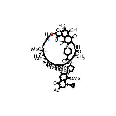 COc1c(N2CCC(NC(=O)C3CCN(C4=C5NC(=O)/C(C)=C\C=C\[C@H](C)[C@H](O)[C@@H](C)[C@@H](O)[C@@H](C)[C@H](OC(C)=O)C(C)[C@@H](OC)CC/C=C/O[C@@]6(C)Oc7c(C)c(O)c(c(c7C6=O)C4=O)C5=O)CC3)C2)c(F)cc2c(=O)c(C(C)=O)cn(C3CC3)c12